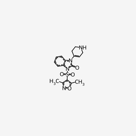 Cc1noc(C)c1S(=O)(=O)n1c(=O)n(C2=CCNCC2)c2ccccc21